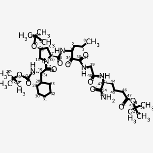 CCCC(NC(=O)[C@@H]1C[C@@H](OC(C)(C)C)CN1C(=O)[C@@H](NC(=O)OC(C)(C)C)C1CCCCC1)C(=O)C(=O)NCC(=O)N[C@@H](CCCC(=O)OC(C)(C)C)C(N)=O